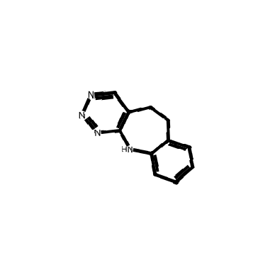 c1ccc2c(c1)CCc1cnnnc1N2